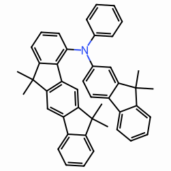 CC1(C)c2ccccc2-c2ccc(N(c3ccccc3)c3cccc4c3-c3cc5c(cc3C4(C)C)-c3ccccc3C5(C)C)cc21